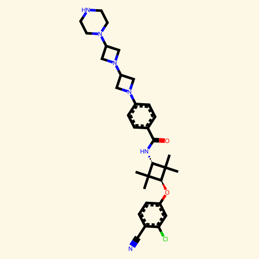 CC1(C)[C@H](NC(=O)c2ccc(N3CC(N4CC(N5CCNCC5)C4)C3)cc2)C(C)(C)[C@H]1Oc1ccc(C#N)c(Cl)c1